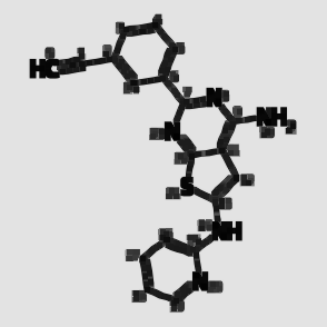 C#Cc1cccc(-c2nc(N)c3cc(Nc4ccccn4)sc3n2)c1